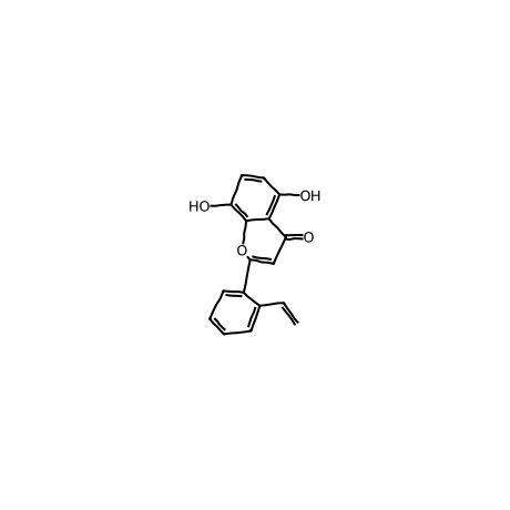 C=Cc1ccccc1-c1cc(=O)c2c(O)ccc(O)c2o1